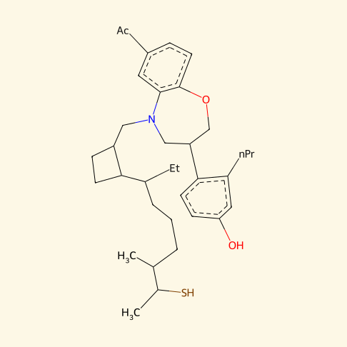 CCCc1cc(O)ccc1C1COc2ccc(C(C)=O)cc2N(CC2CCC2C(CC)CCCC(C)C(C)S)C1